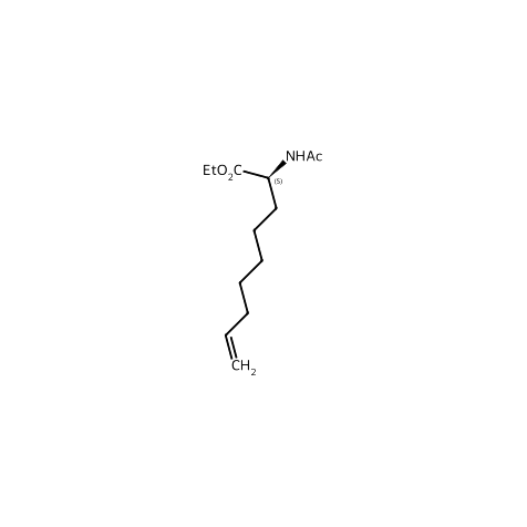 C=CCCCCC[C@H](NC(C)=O)C(=O)OCC